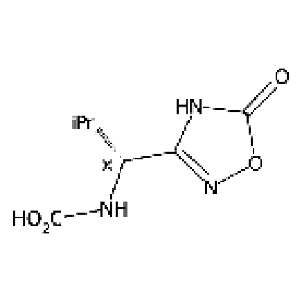 CC(C)[C@@H](NC(=O)O)c1noc(=O)[nH]1